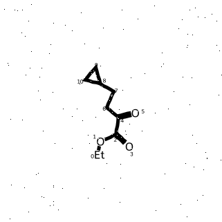 CCOC(=O)C(=O)CCC1CC1